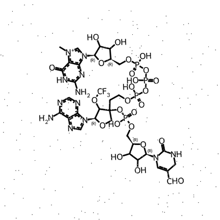 C[n+]1cn([C@@H]2O[C@H](COP(=O)(O)OP(=O)(O)OP(=O)(O)OCCC3(OP(=O)(O)OC[C@H]4O[C@@H](N5C=C(C=O)CNC5=O)C(O)C4O)CO[C@@H](n4cnc5c(N)ncnc54)C3OC(F)(F)F)C(O)C2O)c2nc(N)[nH]c(=O)c21